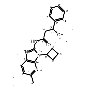 Cc1ccc2nc(NC(=O)C[C@H](O)c3ccccc3)n(C3CCC3)c2n1